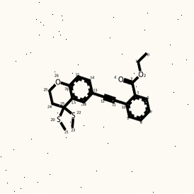 CCOC(=O)c1ccccc1C#Cc1ccc2c(c1)C(SC)(SC)CCO2